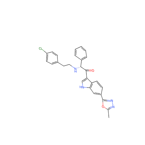 Cc1nnc(-c2ccc3c(C(=O)[C@H](NCCc4ccc(Cl)cc4)c4ccccc4)c[nH]c3c2)o1